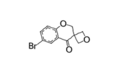 O=C1c2cc(Br)ccc2OCC12COC2